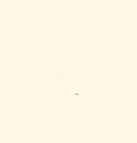 C=CC(=O)N1CCC[C@@H](n2nc(C(=O)Nc3ccc(CC(=O)N(C)C)cc3C=C)c3c(N)ncnc32)C1